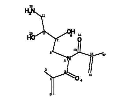 C=C(C)C(=O)N(CC(O)C(O)CN)C(=O)C(=C)C